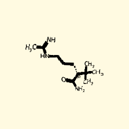 CC(=N)NCCC[C@@H](C(N)=O)C(C)(C)C